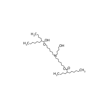 CCCCCCC(CCCC)C(=O)OCCCCCCN(CCCCO)CCCCCCOC(O)C(CCCC)CCCCCC